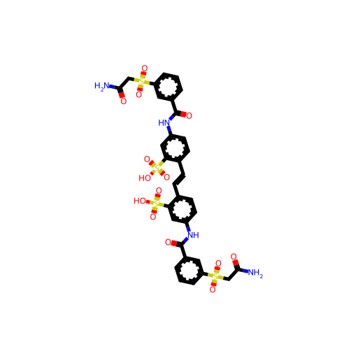 NC(=O)CS(=O)(=O)c1cccc(C(=O)Nc2ccc(C=Cc3ccc(NC(=O)c4cccc(S(=O)(=O)CC(N)=O)c4)cc3S(=O)(=O)O)c(S(=O)(=O)O)c2)c1